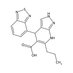 CCCC1=C(C(=O)O)C(c2cccc3nsnc23)c2c[nH]nc2N1